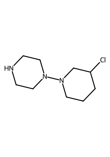 ClC1CCCN(N2CCNCC2)C1